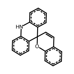 C1=CC2(Oc3ccccc31)c1ccccc1Nc1ccccc12